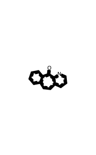 O=c1c2ccccc2ccc2cccnc12